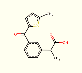 Cc1ccc(C(=O)c2cccc(C(C)C(=O)O)c2)s1